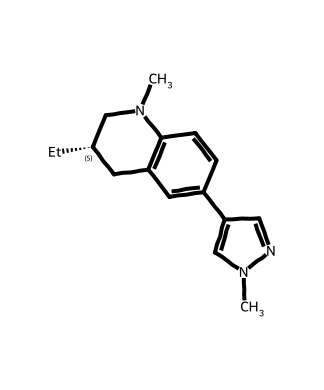 CC[C@H]1Cc2cc(-c3cnn(C)c3)ccc2N(C)C1